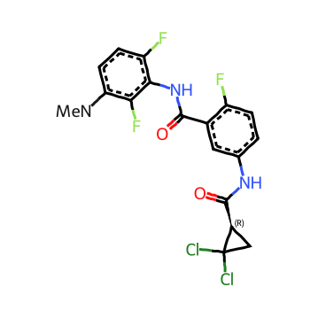 CNc1ccc(F)c(NC(=O)c2cc(NC(=O)[C@H]3CC3(Cl)Cl)ccc2F)c1F